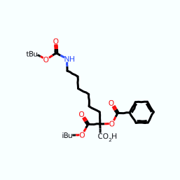 CCC(C)OC(=O)C(CCCCCCNC(=O)OC(C)(C)C)(OC(=O)c1ccccc1)C(=O)O